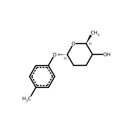 Cc1ccc(O[C@H]2CCC(O)[C@H](C)O2)cc1